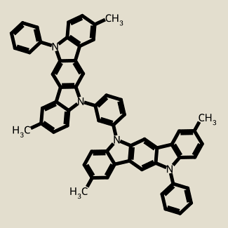 Cc1ccc2c(c1)c1cc3c(cc1n2-c1ccccc1)c1cc(C)ccc1n3-c1cccc(-n2c3ccc(C)cc3c3cc4c(cc32)c2cc(C)ccc2n4-c2ccccc2)c1